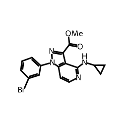 COC(=O)c1nn(-c2cccc(Br)c2)c2ccnc(NC3CC3)c12